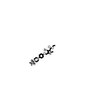 CCOC(=O)c1c(Br)c(COc2ccc(N3CCN(S(=O)(=O)N(C)C)CC3)cc2)nn1C